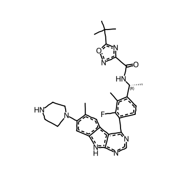 Cc1cc2c(cc1N1CCNCC1)[nH]c1ncnc(-c3ccc([C@@H](C)NC(=O)c4noc(C(C)(C)C)n4)c(C)c3F)c12